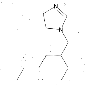 CCCCC(CC)CN1C=NCC1